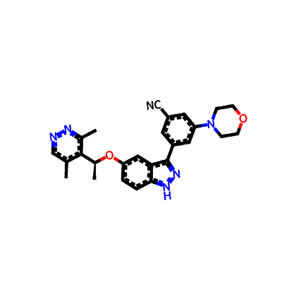 Cc1cnnc(C)c1[C@H](C)Oc1ccc2[nH]nc(-c3cc(C#N)cc(N4CCOCC4)c3)c2c1